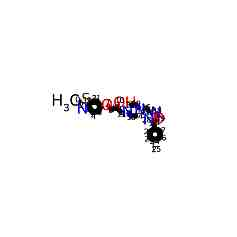 Cc1nc2ccc(OC[C@@H](O)CN3CCN(Cc4noc(-c5ccc(F)cc5)n4)CC3)cc2s1